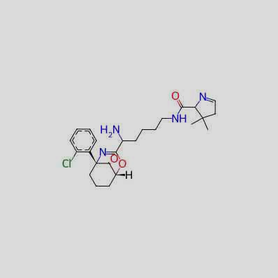 CC1(C)CC=NC1C(=O)NCCCCC(N)C1=N[C@@]2(c3ccccc3Cl)CCC[C@@H](O1)C2=O